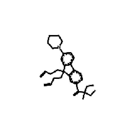 C=CCCC1(CCC=C)c2cc(C(=C)C(C)(CC)CC)ccc2-c2ccc(N3CCCCC3)cc21